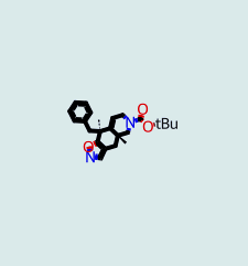 CC(C)(C)OC(=O)N1CC=C2[C@@](C)(Cc3cnoc3[C@@]2(C)Cc2ccccc2)C1